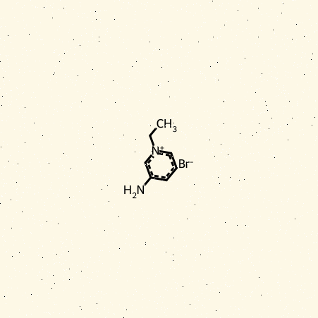 CC[n+]1cccc(N)c1.[Br-]